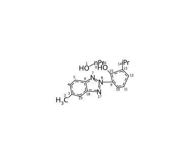 CCCO.Cc1ccc2nn(-c3cccc(C(C)C)c3O)nc2c1